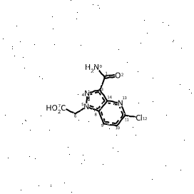 NC(=O)c1nn(CC(=O)O)c2ccc(Cl)nc12